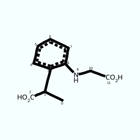 CC(C(=O)O)c1ccccc1NCC(=O)O